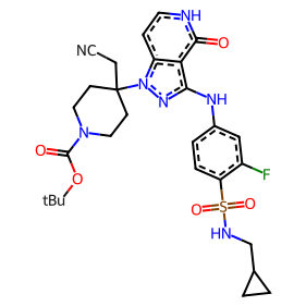 CC(C)(C)OC(=O)N1CCC(CC#N)(n2nc(Nc3ccc(S(=O)(=O)NCC4CC4)c(F)c3)c3c(=O)[nH]ccc32)CC1